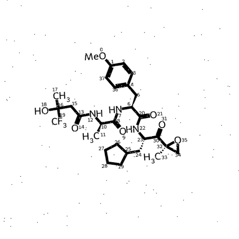 COc1ccc(C[C@H](NC(=O)[C@@H](C)NC(=O)CC(C)(O)C(F)(F)F)C(=O)N[C@@H](CC2CCCC2)C(=O)[C@]2(C)CO2)cc1